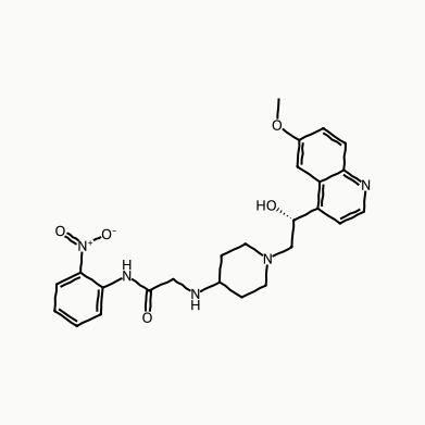 COc1ccc2nccc([C@@H](O)CN3CCC(NCC(=O)Nc4ccccc4[N+](=O)[O-])CC3)c2c1